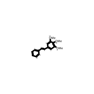 COc1cc(/C=C/c2ccccc2)cc(OC)c1OC